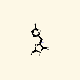 Cc1ccc(/C=C2\SC(=S)NC2=O)o1